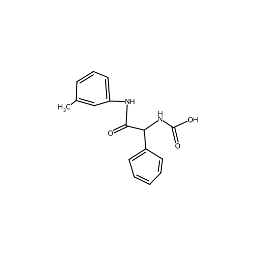 Cc1cccc(NC(=O)C(NC(=O)O)c2ccccc2)c1